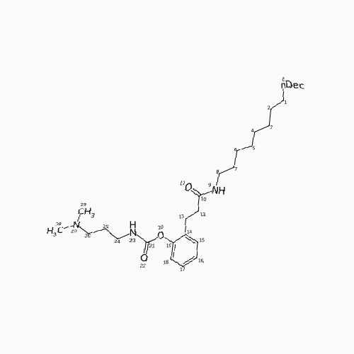 CCCCCCCCCCCCCCCCCCNC(=O)CCc1ccccc1OC(=O)NCCCN(C)C